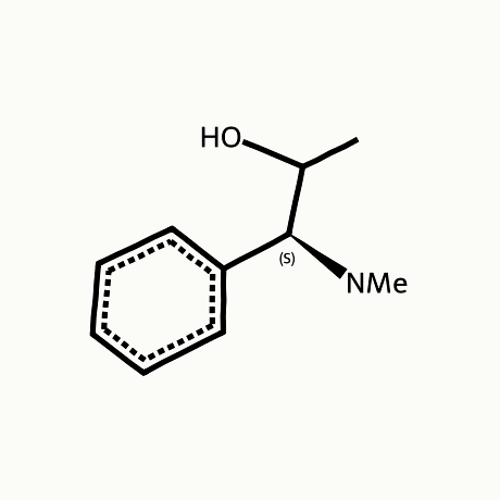 CN[C@@H](c1ccccc1)C(C)O